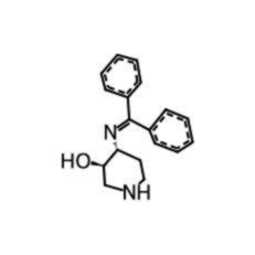 O[C@@H]1CNCC[C@H]1N=C(c1ccccc1)c1ccccc1